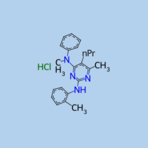 CCCc1c(C)nc(Nc2ccccc2C)nc1N(C)c1ccccc1.Cl